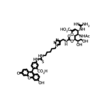 CC(=O)N[C@H]1[C@H]([C@H](OC(=O)NCc2cn(CCCCCNC(=S)Nc3ccc(-c4c5ccc(=O)cc-5oc5cc(O)ccc45)c(C(=O)O)c3)nn2)[C@H](O)CO)OC(C(=O)O)=C[C@@H]1NC(=N)N